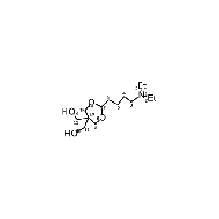 CCN(CC)CCCCC1OCC(CO)(CO)CO1